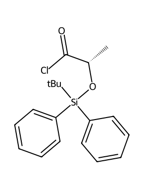 C[C@H](O[Si](c1ccccc1)(c1ccccc1)C(C)(C)C)C(=O)Cl